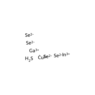 S.[Cu+2].[Ga+3].[In+3].[Se-2].[Se-2].[Se-2].[Se-2]